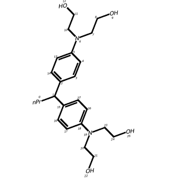 CCCC(c1ccc(N(CCO)CCO)cc1)c1ccc(N(CCO)CCO)cc1